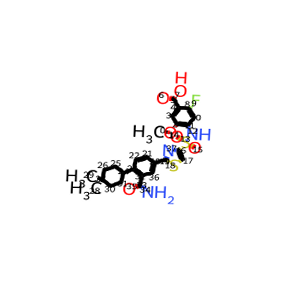 COc1cc(C(=O)O)c(F)cc1NS(=O)(=O)c1csc(-c2ccc(C3CCC(C)(C)CC3)c(C(N)=O)c2)n1